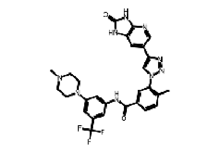 Cc1ccc(C(=O)Nc2cc(N3CCN(C)CC3)cc(C(F)(F)F)c2)cc1-n1cc(-c2cnc3[nH]c(=O)[nH]c3c2)nn1